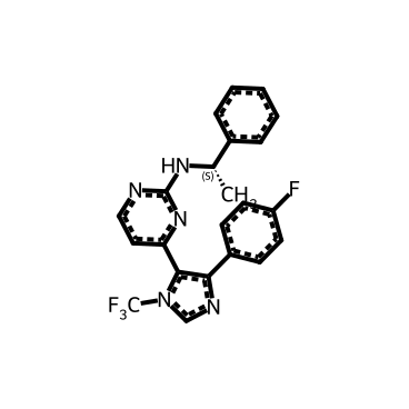 C[C@H](Nc1nccc(-c2c(-c3ccc(F)cc3)ncn2C(F)(F)F)n1)c1ccccc1